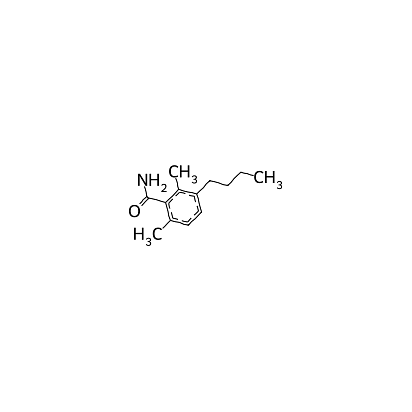 CCCCc1ccc(C)c(C(N)=O)c1C